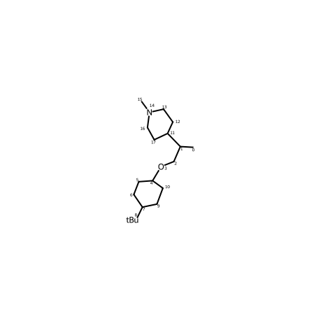 CC(COC1CCC(C(C)(C)C)CC1)C1CCN(C)CC1